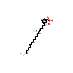 CCCCCCCCCCCCCCCCCCCCCCc1cccc(C(=O)O)c1O.[CaH2]